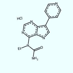 CCN(C(N)=O)c1ncnc2c(-c3ccncc3)cnn12.Cl